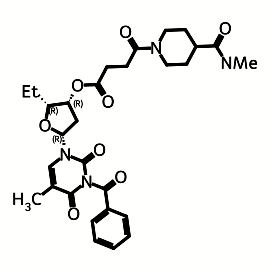 CC[C@H]1O[C@@H](n2cc(C)c(=O)n(C(=O)c3ccccc3)c2=O)C[C@H]1OC(=O)CCC(=O)N1CCC(C(=O)NC)CC1